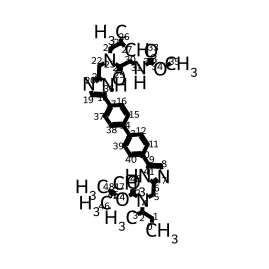 CCC(C)N(Cc1ncc(-c2ccc(-c3ccc(-c4cnc(CN(CC(C)C)C(=O)CNC(=O)OC)[nH]4)cc3)cc2)[nH]1)C(=O)OC(C)(C)C